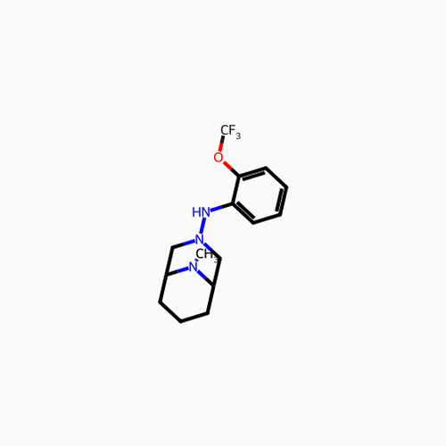 CN1C2CCCC1CN(Nc1ccccc1OC(F)(F)F)C2